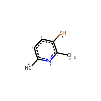 Cc1nc(C#N)ccc1S